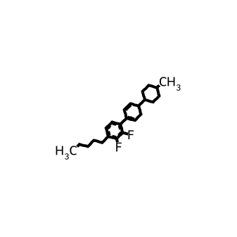 CCCCCc1ccc(C2=CCC(C3CCC(C)CC3)C=C2)c(F)c1F